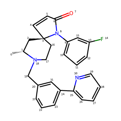 C[C@@H]1C[C@]2(C=CC(=O)N2c2cccc(F)c2)CCN1Cc1cccc(-c2ccccn2)c1